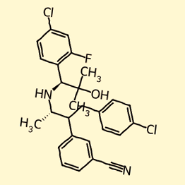 C[C@H](N[C@@H](c1ccc(Cl)cc1F)C(C)(C)O)C(Cc1ccc(Cl)cc1)c1cccc(C#N)c1